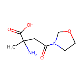 CC(N)(CC(=O)N1CCOC1)C(=O)O